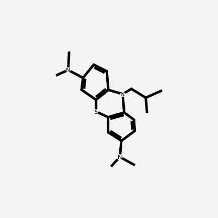 CC(C)CN1c2ccc(N(C)C)cc2Sc2cc(N(C)C)ccc21